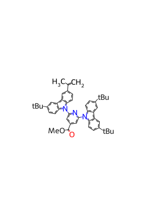 C=C(C)c1ccc2c(c1)c1cc(C(C)(C)C)ccc1n2-c1cc(C(=O)OC)cc(-n2c3ccc(C(C)(C)C)cc3c3cc(C(C)(C)C)ccc32)n1